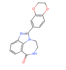 O=C1NCCn2c(-c3ccc4c(c3)OCCO4)nc3cccc1c32